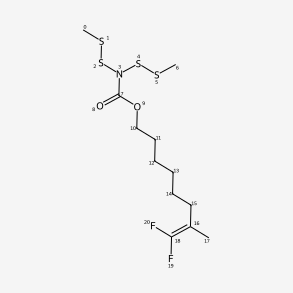 CSSN(SSC)C(=O)OCCCCCCC(C)=C(F)F